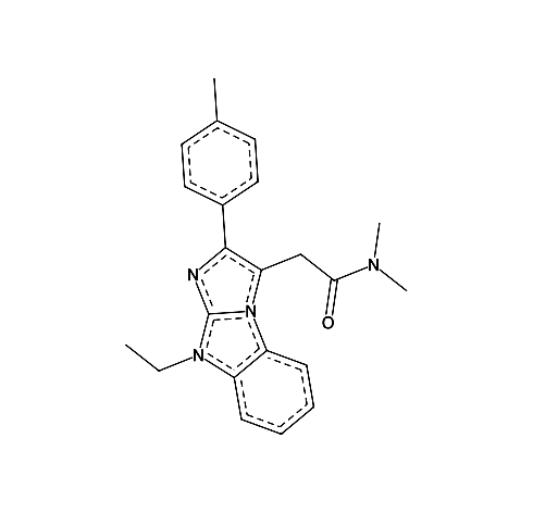 CCn1c2ccccc2n2c(CC(=O)N(C)C)c(-c3ccc(C)cc3)nc12